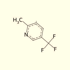 Cc1[c]cc(C(F)(F)F)cn1